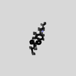 CC/C=C/c1ccc(OC(=O)CCC)cc1